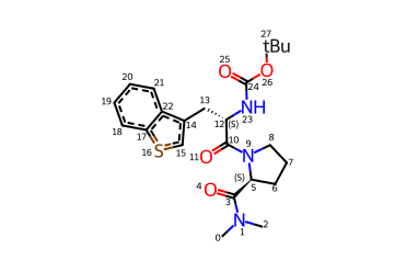 CN(C)C(=O)[C@@H]1CCCN1C(=O)[C@H](Cc1csc2ccccc12)NC(=O)OC(C)(C)C